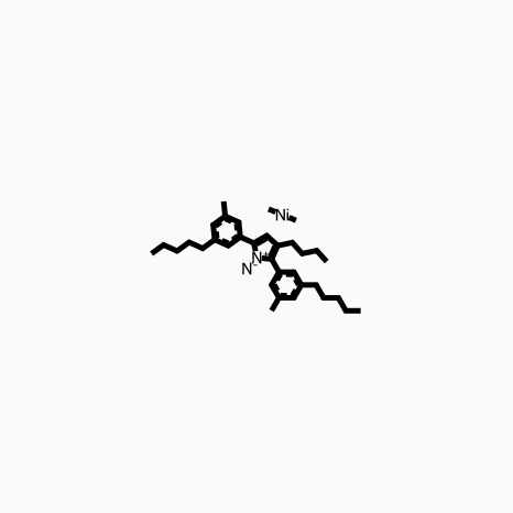 CCCCCc1cc(C)cc(C2=CC(CCCC)=C(c3cc(C)cc(CCCCC)c3)[N+]2=[N-])c1.[CH3][Ni][CH3]